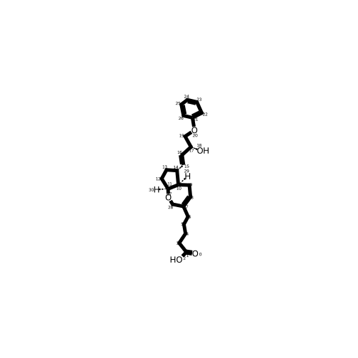 O=C(O)CCCCC1=CC[C@H]2[C@H](CC[C@@H]2/C=C/[C@@H](O)COc2ccccc2)OC1